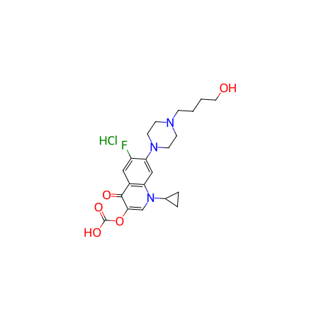 Cl.O=C(O)Oc1cn(C2CC2)c2cc(N3CCN(CCCCO)CC3)c(F)cc2c1=O